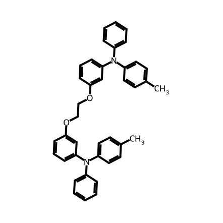 Cc1ccc(N(c2ccccc2)c2cccc(OCCOc3cccc(N(c4ccccc4)c4ccc(C)cc4)c3)c2)cc1